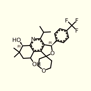 CC(C)c1nc2c(c3c1[C@@H](c1ccc(C(F)(F)F)cc1)OC31CCOCC1)C(O)CC(C)(C)[C@H]2O